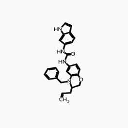 C=CCC1COc2ccc(NC(=O)Nc3ccc4cc[nH]c4c3)cc2N1Cc1ccccc1